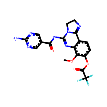 COc1c(OC(=O)C(F)(F)F)ccc2c1N=C(NC(=O)c1cnc(N)nc1)N1CCN=C21